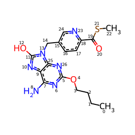 CCCCOc1nc(N)c2nc(O)n(Cc3ccc(C(=O)SC)nc3)c2n1